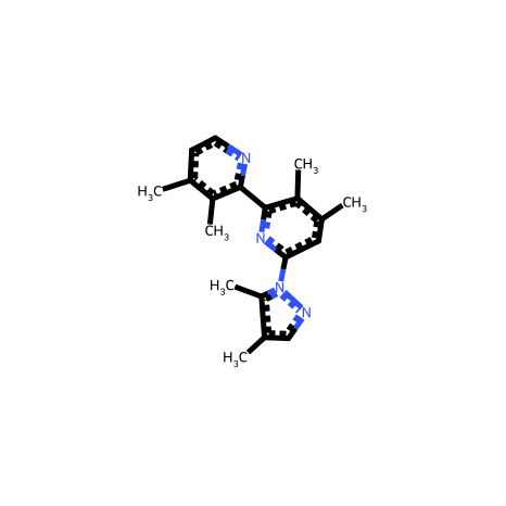 Cc1ccnc(-c2nc(-n3ncc(C)c3C)cc(C)c2C)c1C